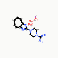 I.N=C(N)N1CCN(c2nc3cccccc-3n2)CC1.O.O.O